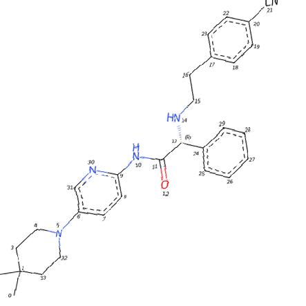 CC1(C)CCN(c2ccc(NC(=O)[C@H](NCCc3ccc(C#N)cc3)c3ccccc3)nc2)CC1